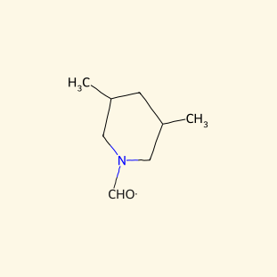 CC1CC(C)CN([C]=O)C1